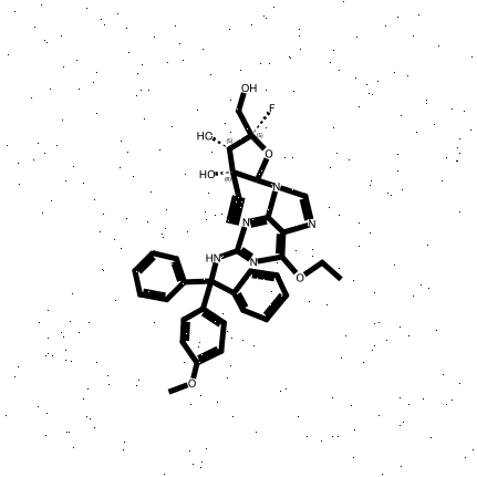 C#C[C@]1(O)C(n2cnc3c(OCC)nc(NC(c4ccccc4)(c4ccccc4)c4ccc(OC)cc4)nc32)O[C@](F)(CO)[C@H]1O